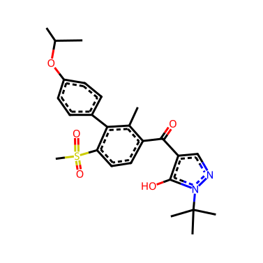 Cc1c(C(=O)c2cnn(C(C)(C)C)c2O)ccc(S(C)(=O)=O)c1-c1ccc(OC(C)C)cc1